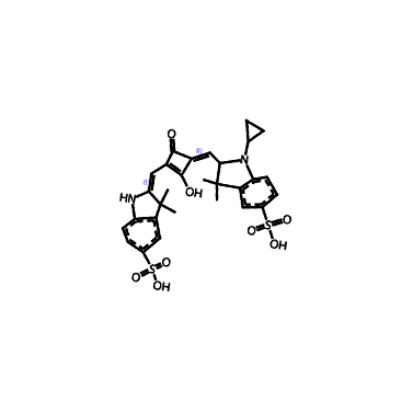 CC1(C)/C(=C\C2=C(O)C(=C\C3N(C4CC4)c4ccc(S(=O)(=O)O)cc4C3(C)C)/C2=O)Nc2ccc(S(=O)(=O)O)cc21